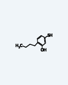 CCCCc1ccc(S)cc1O